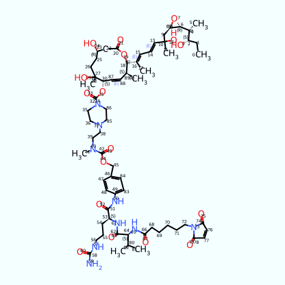 CC[C@H](O)[C@@H](C)[C@H]1O[C@@H]1CC(C)(O)/C=C/C=C(\C)[C@H]1OC(=O)C[C@H](O)CC[C@@](C)(O)[C@@H](OC(=O)N2CCN(CCN(C)C(=O)OCc3ccc(NC(=O)[C@H](CCCNC(N)=O)NC(=O)[C@@H](NC(=O)CCCCCN4C(=O)C=CC4=O)C(C)C)cc3)CC2)/C=C/[C@@H]1C